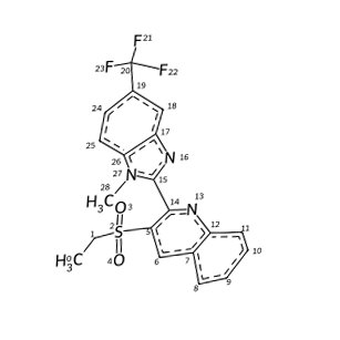 CCS(=O)(=O)c1cc2ccccc2nc1-c1nc2cc(C(F)(F)F)ccc2n1C